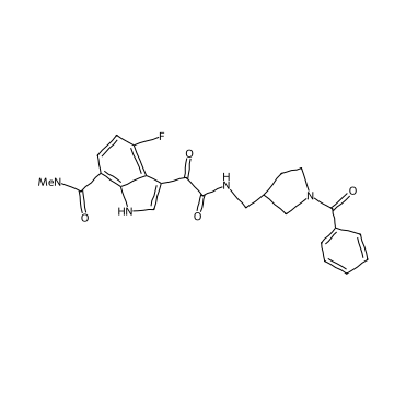 CNC(=O)c1ccc(F)c2c(C(=O)C(=O)NCC3CCN(C(=O)c4ccccc4)C3)c[nH]c12